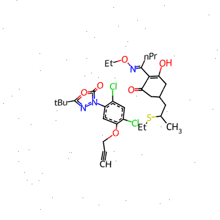 C#CCOc1cc(-n2nc(C(C)(C)C)oc2=O)c(Cl)cc1Cl.CCCC(=NOCC)C1=C(O)CC(CC(C)SCC)CC1=O